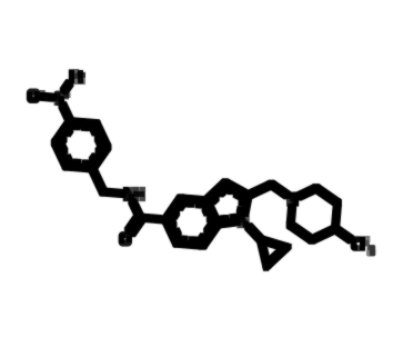 CC[S+]([O-])c1ccc(CNC(=O)c2ccc3c(c2)cc(CN2CCC(C(F)(F)F)CC2)n3C2CC2)cc1